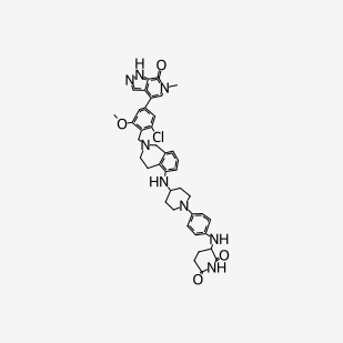 COc1cc(-c2cn(C)c(=O)c3[nH]ncc23)cc(Cl)c1CN1CCc2c(cccc2NC2CCN(c3ccc(NC4CCC(=O)NC4=O)cc3)CC2)C1